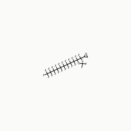 FC(F)(F)OC(F)(C(F)(F)C1CO1)C(F)(F)C(F)(F)C(F)(F)C(F)(F)C(F)(F)C(F)(F)C(F)(F)C(F)(F)C(F)(F)F